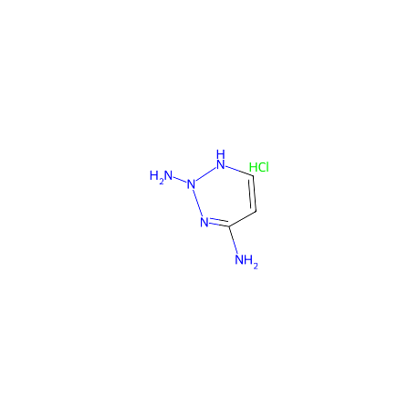 Cl.NC1=NN(N)NC=C1